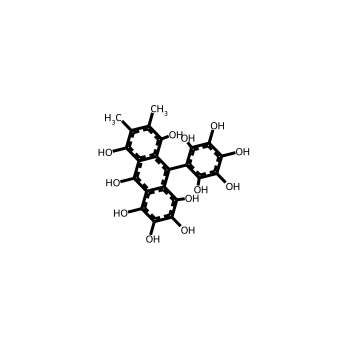 Cc1c(C)c(O)c2c(-c3c(O)c(O)c(O)c(O)c3O)c3c(O)c(O)c(O)c(O)c3c(O)c2c1O